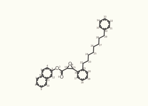 O=C(Oc1ccc2ccccc2c1)C1OC1c1ccccc1CCCCCCCCc1ccccc1